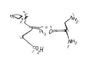 C=C(CC(=O)O)C(=O)O.NC(N)=O